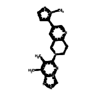 Cc1c(N2CCc3ncc(-c4ccnn4C)cc3C2)nn2cnnc2c1C